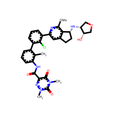 COc1nc(-c2cccc(-c3cccc(NC(=O)c4nn(C)c(=O)n(C)c4=O)c3C)c2Cl)cc2c1[C@H](N[C@@H]1COC[C@@H]1O)CC2